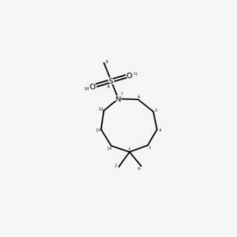 CC1(C)CCCCN(S(C)(=O)=O)CCC1